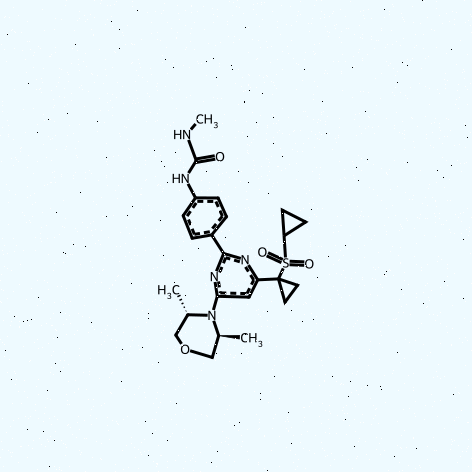 CNC(=O)Nc1ccc(-c2nc(N3[C@@H](C)COC[C@@H]3C)cc(C3(S(=O)(=O)C4CC4)CC3)n2)cc1